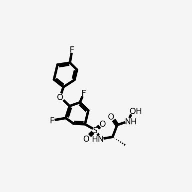 C[C@H](NS(=O)(=O)c1cc(F)c(Oc2ccc(F)cc2)c(F)c1)C(=O)NO